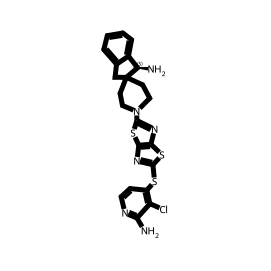 Nc1nccc(Sc2nc3sc(N4CCC5(CC4)Cc4ccccc4[C@H]5N)nc3s2)c1Cl